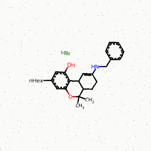 Br.CCCCCCc1cc(O)c2c(c1)OC(C)(C)C1CCC(NCc3ccccc3)=CC21